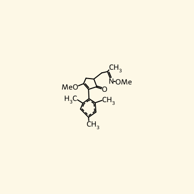 CON=C(C)CC1CC(OC)=C(c2c(C)cc(C)cc2C)C1=O